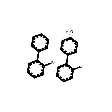 Brc1ccccc1-c1ccccc1.Brc1ccccc1-c1ccccc1.O